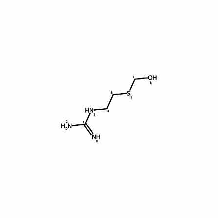 N=C(N)NCCSCO